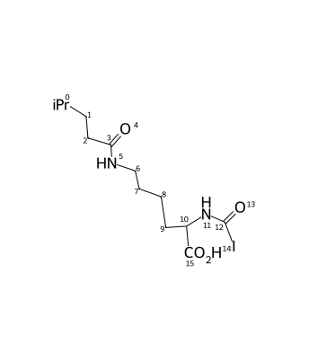 CC(C)CCC(=O)NCCCCC(NC(=O)I)C(=O)O